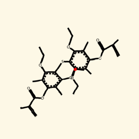 C=C(C)C(=O)Oc1c(C)c(OCC)c(Sc2c(OCC)c(C)c(OC(=O)C(=C)C)c(C)c2OCC)c(OCC)c1C